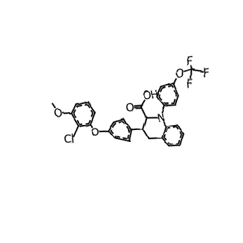 COc1cccc(Oc2ccc(C3Cc4ccccc4N(c4ccc(OC(F)(F)F)cc4)C3C(=O)O)cc2)c1Cl